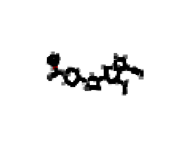 COc1cc(-c2cnn(C3CCN(C(=O)C4C5CC4C5N)CC3)c2)cn2ncc(C#N)c12